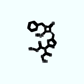 CC(C)(C)OC(=O)N(C(=O)OC(C)(C)C)c1ncc(C[C@H]2C(=O)N(Cc3ccccc3)[C@@H]2C(=O)O)s1